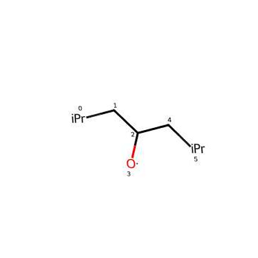 CC(C)CC([O])CC(C)C